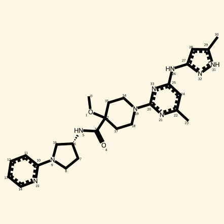 COC1(C(=O)N[C@@H]2CCN(c3ccccn3)C2)CCN(c2nc(C)cc(Nc3cc(C)[nH]n3)n2)CC1